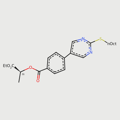 CCCCCCCCSc1ncc(-c2ccc(C(=O)O[C@@H](C)C(=O)OCC)cc2)cn1